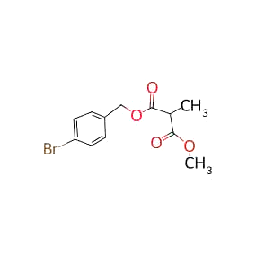 COC(=O)C(C)C(=O)OCc1ccc(Br)cc1